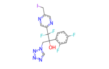 OC(Cn1cnnn1)(c1ccc(F)cc1F)C(F)(F)c1cnc(CI)cn1